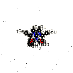 CC(C)(C)c1ccc(-c2cc(-c3ccc(C(C)(C)C)cc3)cc(N3c4ccc(C(C)(C)C)cc4B4c5cc(C(C)(C)C)ccc5N(c5cc(-c6ccc(C(C)(C)C)cc6)cc(-c6ccc(C(C)(C)C)cc6)c5)c5cc(N(c6ccc(C(C)(C)C)cc6)c6ccc7c(c6)C(C)(C)c6ccccc6-7)cc3c54)c2)cc1